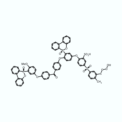 COc1ccc(Oc2ccc(C(=O)c3ccc(Oc4ccc(Oc5ccc(S(=O)(=O)c6ccc(C)c(SOOO)c6)cc5S(=O)(=O)O)cc4P4(=O)Oc5ccccc5-c5ccccc54)cc3)cc2)cc1P1(=O)Oc2ccccc2-c2ccccc21